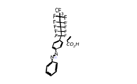 C=CC(=O)O.FC(F)(F)C(F)(F)C(F)(F)C(F)(F)C(F)(F)C(F)(F)c1ccc(/N=N/c2ccccc2)cc1